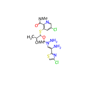 CNC(=O)c1ncc(Cl)cc1SC(OCN(N)/C=C(\N)c1nc(Cl)cs1)[C@H](C)OC